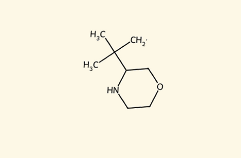 [CH2]C(C)(C)C1COCCN1